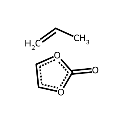 C=CC.O=c1occo1